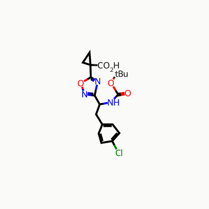 CC(C)(C)OC(=O)NC(Cc1ccc(Cl)cc1)c1noc(C2(C(=O)O)CC2)n1